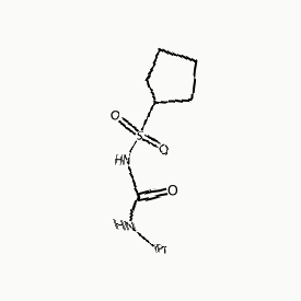 CC(C)NC(=O)NS(=O)(=O)C1CCCC1